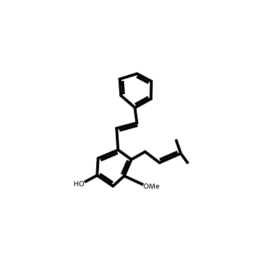 COc1cc(O)cc(C=Cc2ccccc2)c1CC=C(C)C